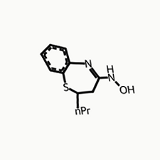 CCCC1CC(NO)=Nc2ccccc2S1